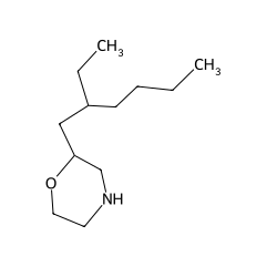 CCCCC(CC)CC1CNCCO1